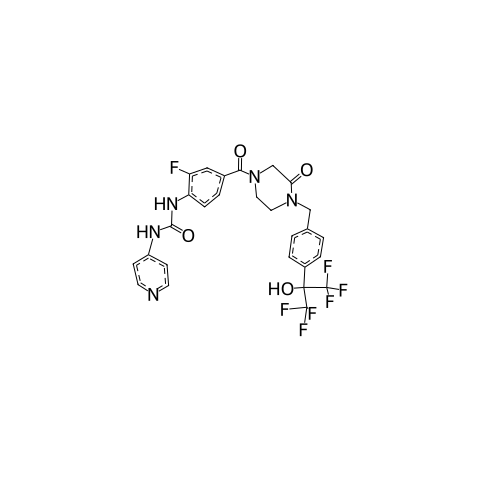 O=C(Nc1ccncc1)Nc1ccc(C(=O)N2CCN(Cc3ccc(C(O)(C(F)(F)F)C(F)(F)F)cc3)C(=O)C2)cc1F